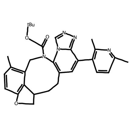 Cc1ccc(-c2cc3c(n4cnnc24)N(C(=O)OC(C)(C)C)Cc2c(C)ccc4c2C(CC3)CO4)c(C)n1